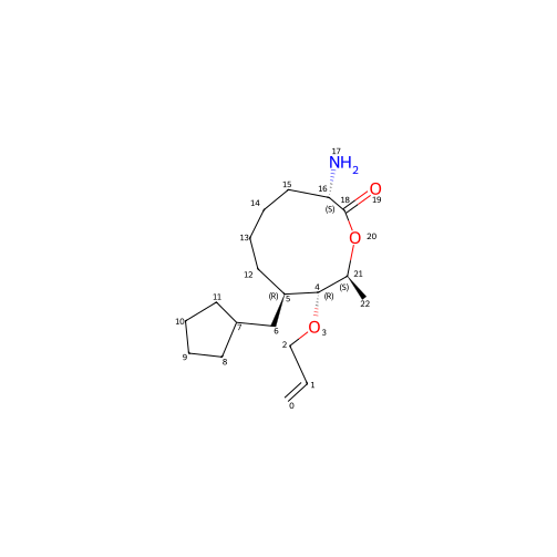 C=CCO[C@@H]1[C@@H](CC2CCCC2)CCCC[C@H](N)C(=O)O[C@H]1C